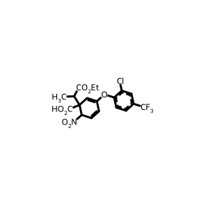 CCOC(=O)C(C)C1(C(=O)O)C=C(Oc2ccc(C(F)(F)F)cc2Cl)C=CC1[N+](=O)[O-]